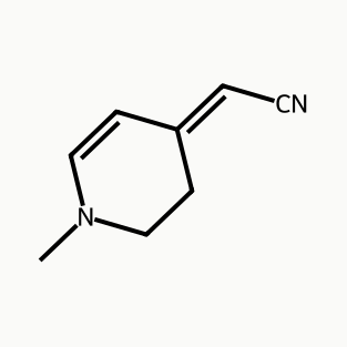 CN1C=CC(=CC#N)CC1